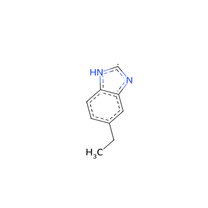 CCc1ccc2[nH][c]nc2c1